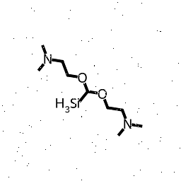 CN(C)CCOC([SiH3])OCCN(C)C